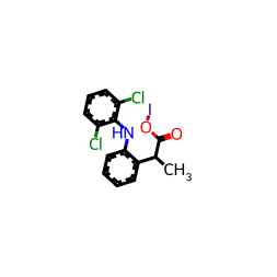 CC(C(=O)OI)c1ccccc1Nc1c(Cl)cccc1Cl